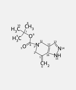 C=C1CN(C(=O)OC(C)(C)C)Cc2cn[nH]c21